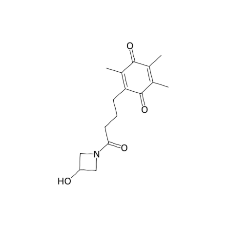 CC1=C(C)C(=O)C(CCCC(=O)N2CC(O)C2)=C(C)C1=O